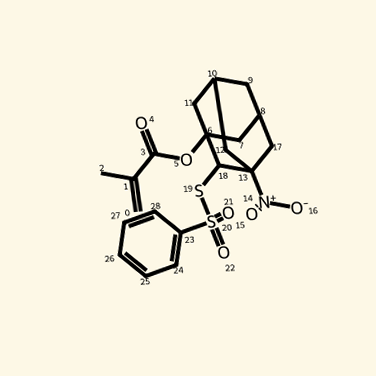 C=C(C)C(=O)OC12CC3CC(C1)CC([N+](=O)[O-])(C3)C2SS(=O)(=O)c1ccccc1